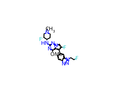 COc1nc(N[C@H]2CCN(C)C[C@H]2F)nn2cc(F)c(-c3ccc4nnn(CCF)c4c3)c12